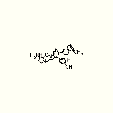 Cn1ncc2cc(-c3ncc4c(cc(CN5CC[C@H](N)C5)n4C)c3-c3ccc(C#N)c(F)c3)ccc21